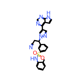 Cc1ccccc1NS(=O)(=O)c1cccc(C(CC#N)n2cc(-c3ncnc4[nH]ccc34)cn2)c1